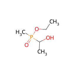 CCOP(C)(=O)C(C)O